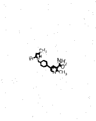 Cc1cc(C(C)C)n(CC2CCC(c3cnc(C)c(C(N)=O)c3)CC2)n1